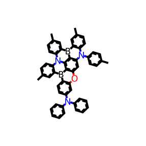 Cc1ccc(N2c3ccc(C)cc3B3c4cc(C)ccc4N4c5ccc(C)cc5B5c6ccc(N(c7ccccc7)c7ccccc7)cc6Oc6cc2c3c4c65)cc1